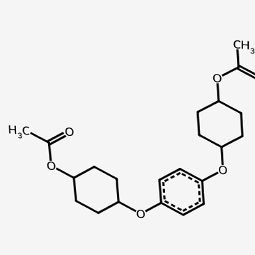 CC(=O)OC1CCC(Oc2ccc(OC3CCC(OC(C)=O)CC3)cc2)CC1